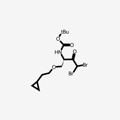 CC(C)(C)OC(=O)N[C@@H](COCCC1CC1)C(=O)C(Br)Br